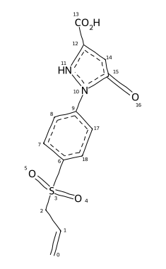 C=CCS(=O)(=O)c1ccc(-n2[nH]c(C(=O)O)cc2=O)cc1